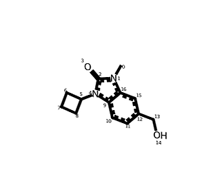 Cn1c(=O)n(C2CCC2)c2ccc(CO)cc21